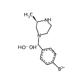 [B+2]c1ccc(CN2CCN[C@H](C)C2)cc1.[OH-].[OH-]